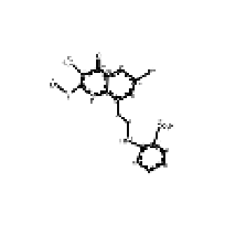 CCSc1oc2c(CCNc3ccccc3C(=O)O)cc(F)cc2c(=O)c1C